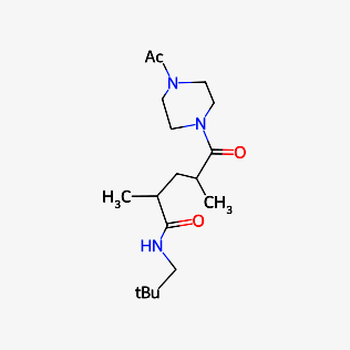 CC(=O)N1CCN(C(=O)C(C)CC(C)C(=O)NCC(C)(C)C)CC1